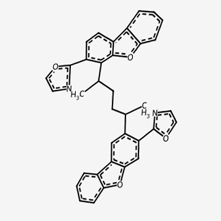 CC(CCC(C)c1c(-c2ncco2)ccc2c1oc1ccccc12)c1cc2c(cc1-c1ncco1)oc1ccccc12